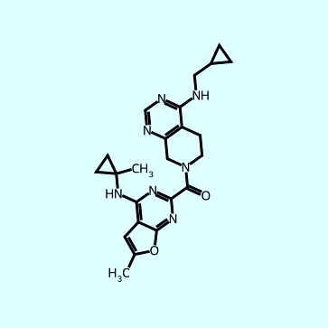 Cc1cc2c(NC3(C)CC3)nc(C(=O)N3CCc4c(ncnc4NCC4CC4)C3)nc2o1